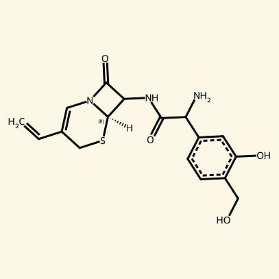 C=CC1=CN2C(=O)C(NC(=O)C(N)c3ccc(CO)c(O)c3)[C@H]2SC1